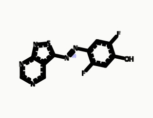 Oc1cc(F)c(/N=N/c2snc3ncncc23)cc1F